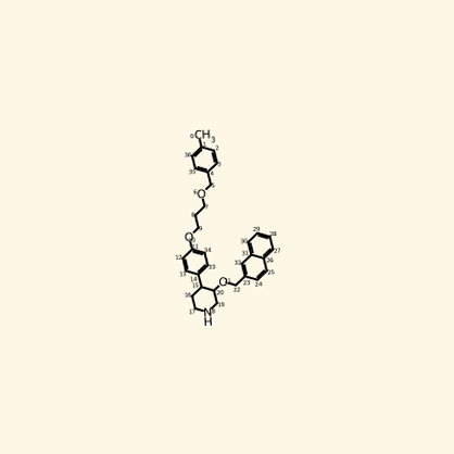 Cc1ccc(COCCCOc2ccc(C3CCNCC3OCc3ccc4ccccc4c3)cc2)cc1